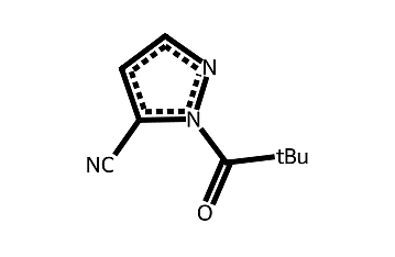 CC(C)(C)C(=O)n1nccc1C#N